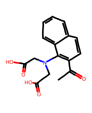 CC(=O)c1ccc2ccccc2c1N(CC(=O)O)CC(=O)O